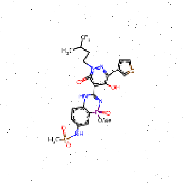 COP1(=O)N=C(c2c(O)c(-c3ccsc3)nn(CCC(C)C(F)(F)F)c2=O)Nc2ccc(NS(C)(=O)=O)cc21